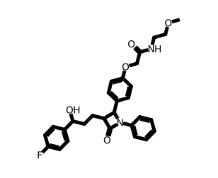 COCCNC(=O)COc1ccc(C2C(CCC(O)c3ccc(F)cc3)C(=O)N2c2ccccc2)cc1